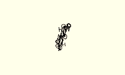 CC#CCn1c(N2CCC[C@@H](NC(=O)OC(C)(C)C)C2)nc2cnn(Cc3nc4ccccc4c(=O)[nH]3)c(=O)c21